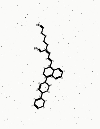 N=CCCCC/C(C=N)=C/C=C/C1CCC(C2C=CC(C3=CC=CCC3)CC2)=C2C=CC=CC21